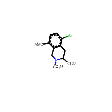 COc1ccc(Br)c2c1CN(C(=O)O)C(C=O)C2